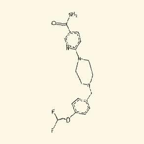 NC(=O)c1ccc(N2CCN(Cc3ccc(OC(F)F)cc3)CC2)nc1